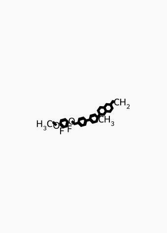 C=CC1CCC2CC(C3(C)C=CC(c4ccc(COc5ccc(OCC)c(F)c5F)cc4)=CC3)CCC2C1